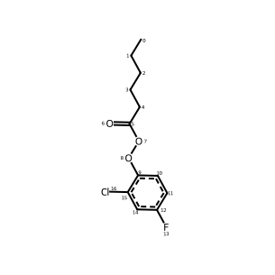 CCCCCC(=O)OOc1ccc(F)cc1Cl